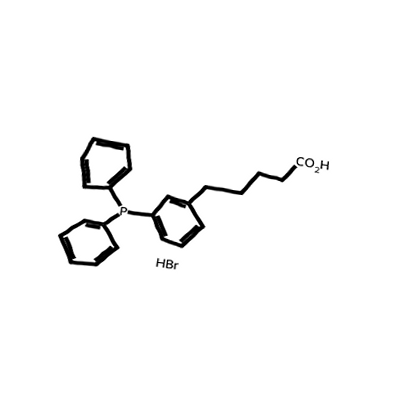 Br.O=C(O)CCCCc1cccc(P(c2ccccc2)c2ccccc2)c1